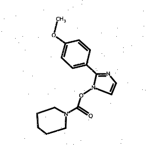 COc1ccc(-c2nccn2OC(=O)N2CCCCC2)cc1